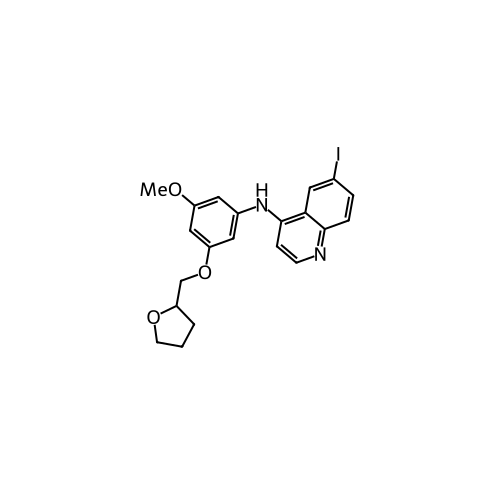 COc1cc(Nc2ccnc3ccc(I)cc23)cc(OCC2CCCO2)c1